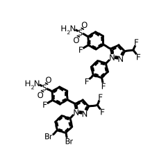 NS(=O)(=O)c1ccc(-c2cc(C(F)F)nn2-c2ccc(Br)c(Br)c2)cc1F.NS(=O)(=O)c1ccc(-c2cc(C(F)F)nn2-c2ccc(F)c(F)c2)cc1F